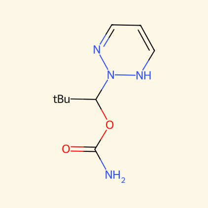 CC(C)(C)C(OC(N)=O)N1N=CC=CN1